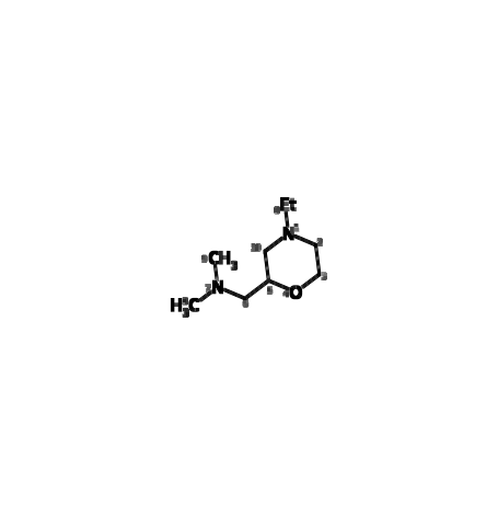 CCN1CCOC(CN(C)C)C1